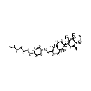 CCCCCCCc1ccc(CCc2ccc3c(F)c(-c4cc(F)c(OC)c(F)c4F)ccc3c2)cc1